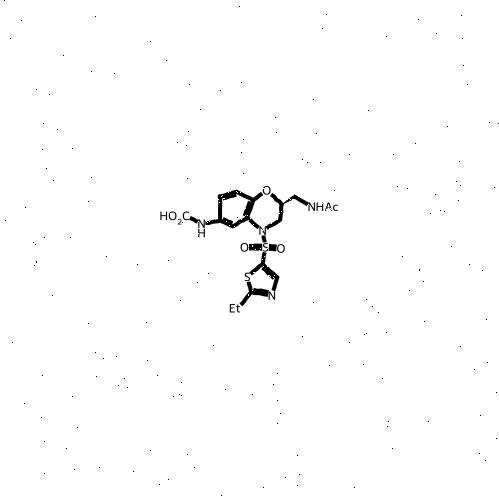 CCc1ncc(S(=O)(=O)N2C[C@H](CNC(C)=O)Oc3ccc(NC(=O)O)cc32)s1